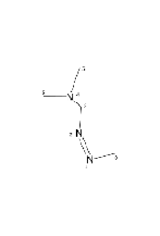 C/N=N\CN(C)C